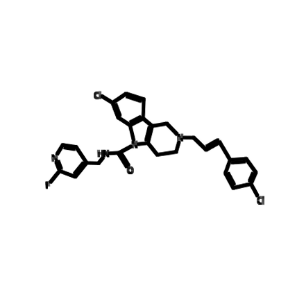 O=C(NCc1ccnc(F)c1)n1c2c(c3ccc(Cl)cc31)CN(C/C=C/c1ccc(Cl)cc1)CC2